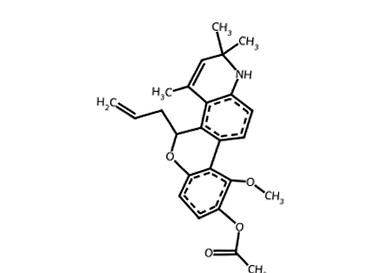 C=CCC1Oc2ccc(OC(C)=O)c(OC)c2-c2ccc3c(c21)C(C)=CC(C)(C)N3